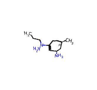 CCCN(N)C1=CC(N)C[C@H](C)CC1